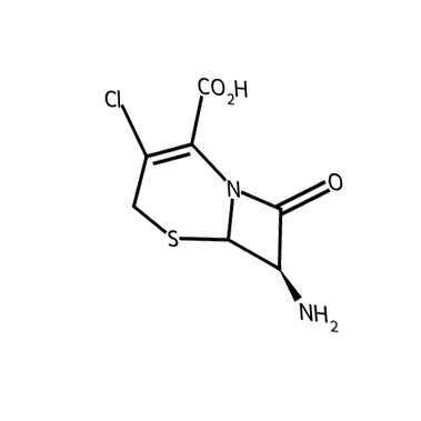 N[C@@H]1C(=O)N2C(C(=O)O)=C(Cl)CSC12